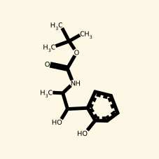 CC(NC(=O)OC(C)(C)C)C(O)c1ccccc1O